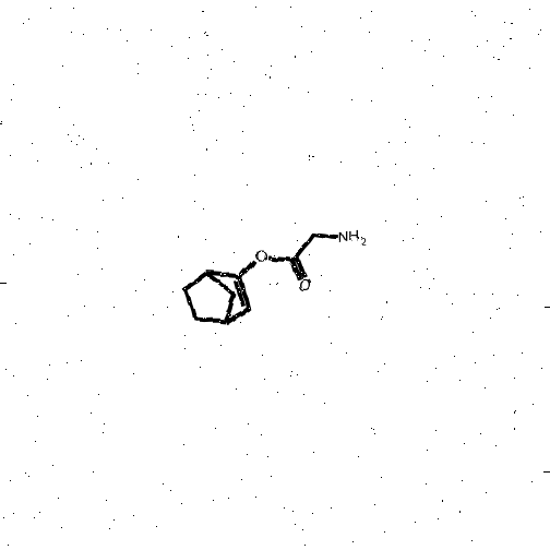 NCC(=O)OC1=CC2CCC1C2